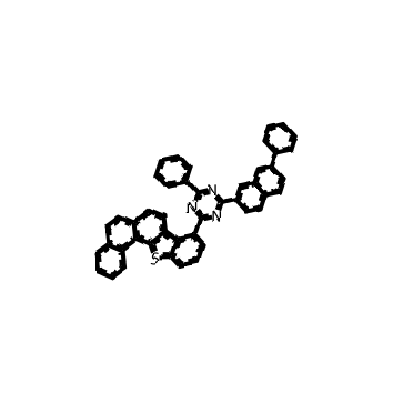 c1ccc(-c2ccc3ccc(-c4nc(-c5ccccc5)nc(-c5cccc6sc7c(ccc8ccc9ccccc9c87)c56)n4)cc3c2)cc1